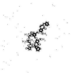 COC1=C(OCc2cc(COc3cc4c(cc3OC)C(=O)N3c5ccccc5CC3C=N4)cc(N(C)C(C)(C)CCOC(C)(C)CCC(=O)ON3C(=O)CCC3=O)c2)C=C2N=C[C@@H]3Cc4ccccc4N3C(=O)C2C1